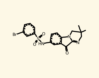 CC1(C)CN=C2C(=O)c3cc(NS(=O)(=O)c4cccc(Br)c4)ccc3N2C1